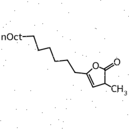 CCCCCCCCCCCCCCC1=CC(C)C(=O)O1